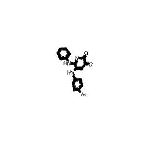 CC(=O)c1ccc(NC2=CC(=O)C(=O)N=C2Nc2ccccc2)cc1